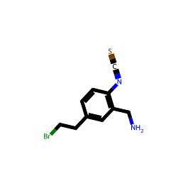 NCc1cc(CCBr)ccc1N=C=S